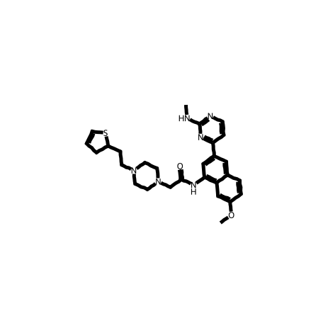 CNc1nccc(-c2cc(NC(=O)CN3CCN(CCC4CC=CS4)CC3)c3cc(OC)ccc3c2)n1